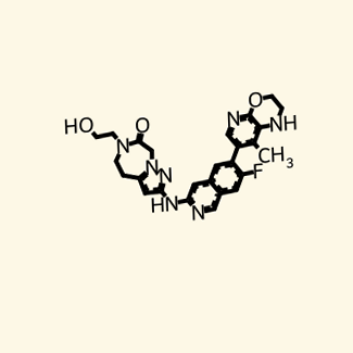 Cc1c(-c2cc3cc(Nc4cc5n(n4)CC(=O)N(CCO)CC5)ncc3cc2F)cnc2c1NCCO2